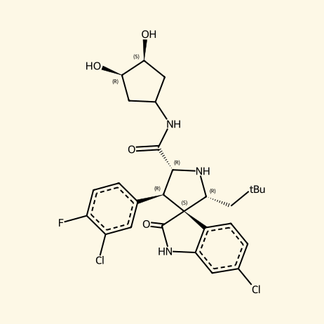 CC(C)(C)C[C@H]1N[C@@H](C(=O)NC2C[C@@H](O)[C@@H](O)C2)[C@H](c2ccc(F)c(Cl)c2)[C@@]12C(=O)Nc1cc(Cl)ccc12